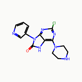 O=c1[nH]c2c(N3CCNCC3)nc(Cl)nc2n1-c1cccnc1